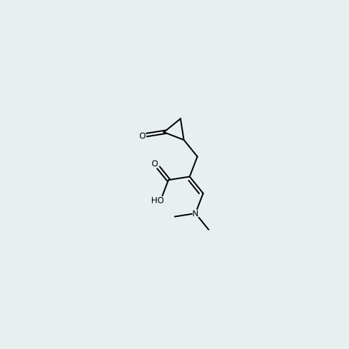 CN(C)C=C(CC1CC1=O)C(=O)O